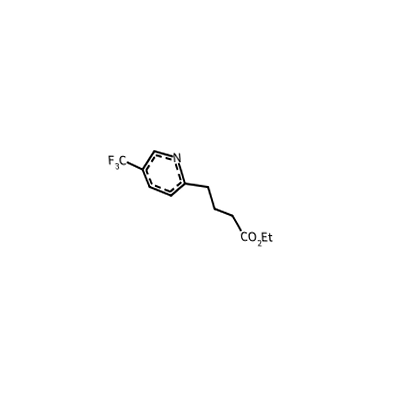 CCOC(=O)CCCc1ccc(C(F)(F)F)cn1